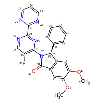 COc1cc2c(cc1OC)[C@H](c1ccccc1)N(c1nc(-c3ncccn3)ncc1F)C2=O